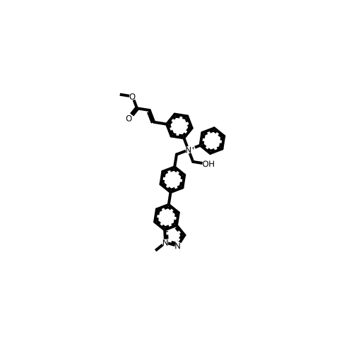 COC(=O)/C=C/c1cccc([N+](CO)(Cc2ccc(-c3ccc4c(cnn4C)c3)cc2)c2ccccc2)c1